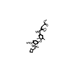 COC(=O)CC(=O)Nc1cc(C)c(Oc2ccc(O)c(S(=O)(=O)CC3CCC3)c2)c(C)c1